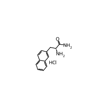 Cl.NC(=O)[C@@H](N)Cc1ccc2ccccc2c1